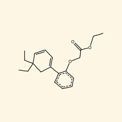 CCOC(=O)COc1ccccc1C1=CC=CC(CC)(CC)C1